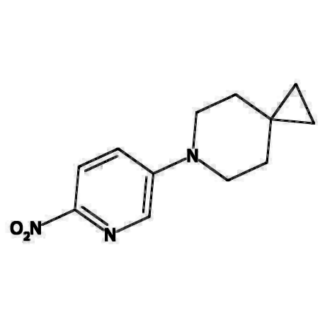 O=[N+]([O-])c1ccc(N2CCC3(CC2)CC3)cn1